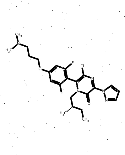 CC[C@H](C)Cn1c(-c2c(F)cc(OCCCN(C)C)cc2F)c(Cl)nc(-n2cccn2)c1=O